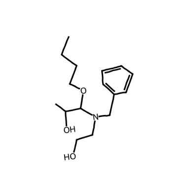 CCCCOC(C(C)O)N(CCO)Cc1ccccc1